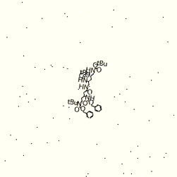 CC(C)(C)OC(=O)NCCC[C@@H](CNC(=O)CC(CCN(C(=O)OCc1ccccc1)C(C)(C)C)NC(=O)OCc1ccccc1)NC(=O)OC(C)(C)C